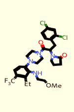 CCc1c(C(F)(F)F)ccc(N2CCN(C(=O)C(Cc3ccc(Cl)cc3Cl)N3CCCC3=O)CC2)c1NCCOC